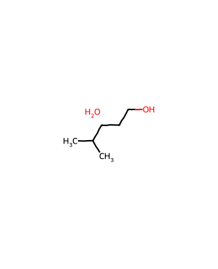 CC(C)CCCO.O